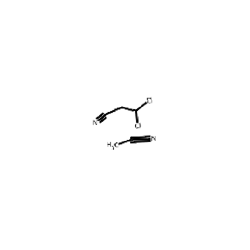 CC#N.N#CCC(Cl)Cl